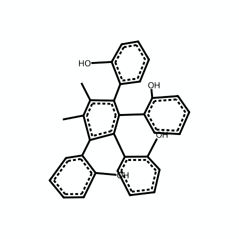 Cc1c(C)c(-c2ccccc2O)c(-c2ccccc2O)c(-c2ccccc2O)c1-c1ccccc1O